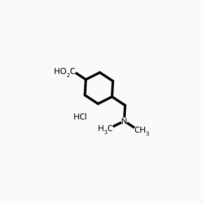 CN(C)CC1CCC(C(=O)O)CC1.Cl